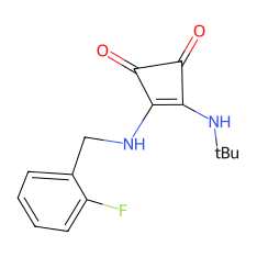 CC(C)(C)Nc1c(NCc2ccccc2F)c(=O)c1=O